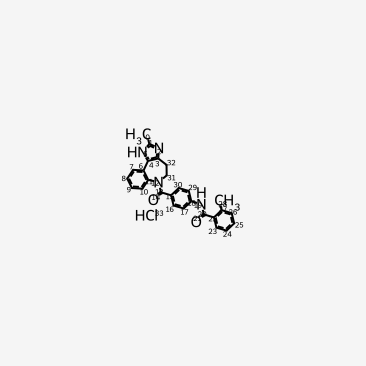 Cc1nc2c([nH]1)-c1ccccc1N(C(=O)c1ccc(NC(=O)c3ccccc3C)cc1)CC2.Cl